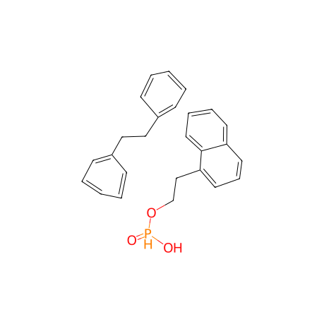 O=[PH](O)OCCc1cccc2ccccc12.c1ccc(CCc2ccccc2)cc1